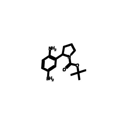 Bc1ccc(N)c(C2CCCN2C(=O)OC(C)(C)C)c1